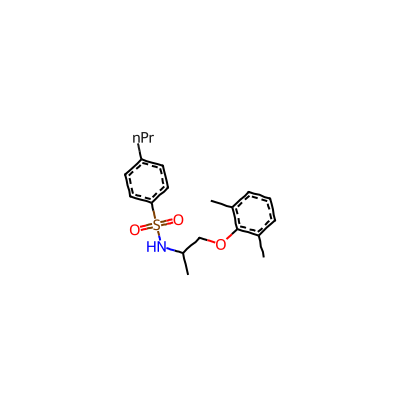 CCCc1ccc(S(=O)(=O)NC(C)COc2c(C)cccc2C)cc1